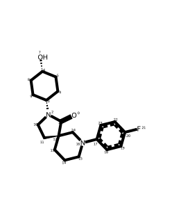 O=C1N([C@H]2CC[C@@H](O)CC2)CC[C@@]12CCCN(c1ccc(F)cc1)C2